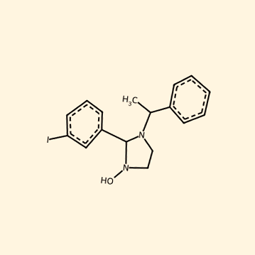 CC(c1ccccc1)N1CCN(O)C1c1cccc(I)c1